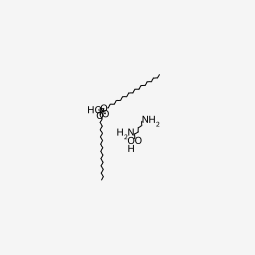 CCCCCCCCCCCCCCCCCCOP(=O)(O)OCCCCCCCCCCCCCCCCCC.NCCCCC(N)C(=O)O